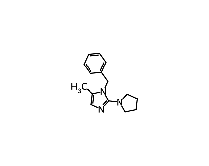 Cc1cnc(N2CCCC2)n1Cc1ccccc1